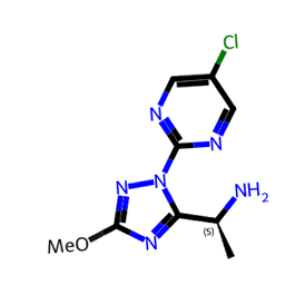 COc1nc([C@H](C)N)n(-c2ncc(Cl)cn2)n1